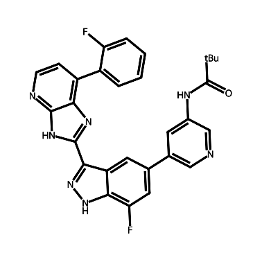 CC(C)(C)C(=O)Nc1cncc(-c2cc(F)c3[nH]nc(-c4nc5c(-c6ccccc6F)ccnc5[nH]4)c3c2)c1